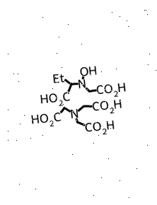 CCC(C(=O)O)N(O)CC(=O)O.O=C(O)CN(CC(=O)O)CC(=O)O